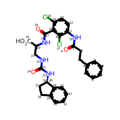 O=C(CCc1ccccc1)Nc1ccc(Cl)c(C(=O)NC(CNC(=O)N[C@@H]2CCc3ccccc32)C(=O)O)c1Cl